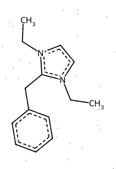 CCn1cc[n+](CC)c1Cc1ccccc1